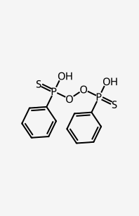 OP(=S)(OOP(O)(=S)c1ccccc1)c1ccccc1